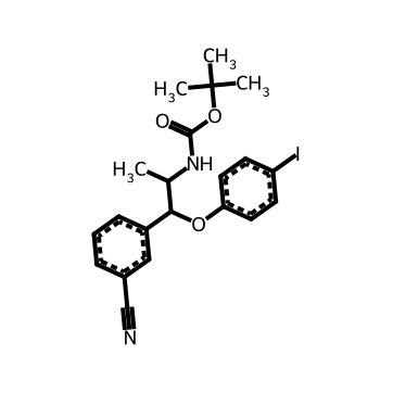 CC(NC(=O)OC(C)(C)C)C(Oc1ccc(I)cc1)c1cccc(C#N)c1